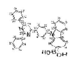 OB(O)c1ccc2c3ccccc3n(-c3ccc(-c4cc(-c5ccccc5)nc(-c5ccccc5)n4)cc3)c2c1